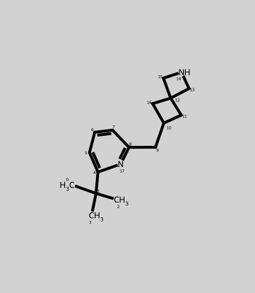 CC(C)(C)c1cccc(CC2CC3(CNC3)C2)n1